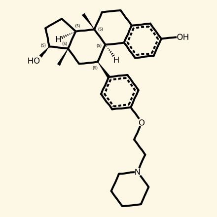 C[C@]12C[C@H](c3ccc(OCCN4CCCCC4)cc3)[C@@H]3c4ccc(O)cc4CC[C@@]3(C)[C@@H]1CC[C@@H]2O